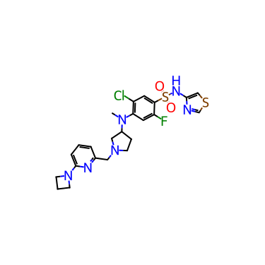 CN(c1cc(F)c(S(=O)(=O)Nc2cscn2)cc1Cl)C1CCN(Cc2cccc(N3CCC3)n2)C1